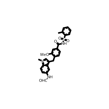 COc1cc(C(=O)NS(=O)(=O)c2ccccc2C)ccc1Cc1cn(C)c2ccc(NC=O)cc12